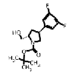 CC(C)(C)OC(=O)N1C[C@H](c2cc(F)cc(F)c2)C[C@H]1CO